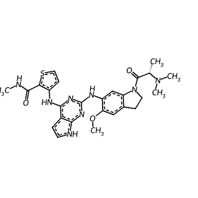 CNC(=O)c1sccc1Nc1nc(Nc2cc3c(cc2OC)CCN3C(=O)[C@H](C)N(C)C)nc2[nH]ccc12